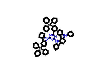 c1ccc(-n2c3ccccc3c3c2ccc2c4ccccc4n(-c4nc(-c5cccc([Si](c6ccccc6)(c6ccccc6)c6ccccc6)c5)nc(-n5c6ccccc6c6cc([Si](c7ccccc7)(c7ccccc7)c7ccccc7)ccc65)n4)c23)cc1